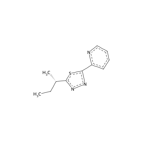 CC[C@H](C)c1nnc(-c2ccccn2)s1